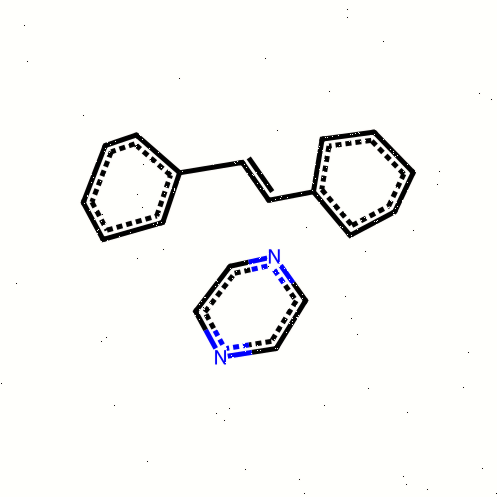 C(=Cc1ccccc1)c1ccccc1.c1cnccn1